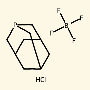 C1C2CC3CC1CP(C2)C3.Cl.F[B-](F)(F)F